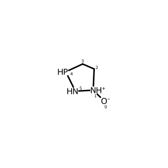 [O-][NH+]1CCPN1